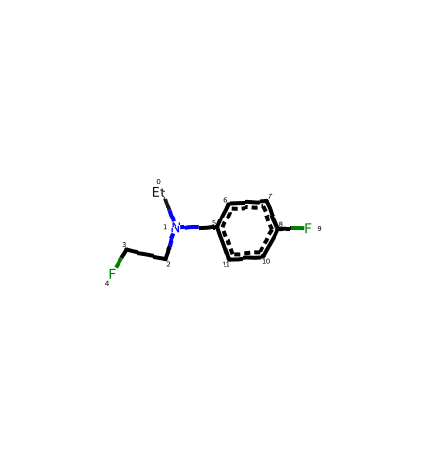 CCN(CCF)c1ccc(F)cc1